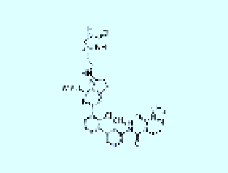 COc1nc(-c2cccc(-c3cccc(NC(=O)c4ccnn(C)c4=O)c3C)c2Cl)cc2c1[C@@H](NCC[C@@H]1CNC(=O)N1)CC2